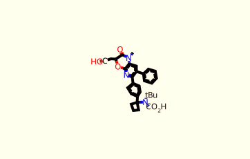 CN1C(=O)C(CCO)Oc2nc(-c3ccc(C4(N(C(=O)O)C(C)(C)C)CCC4)cc3)c(-c3ccccc3)cc21